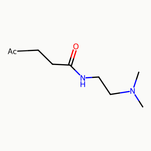 CC(=O)CCC(=O)NCCN(C)C